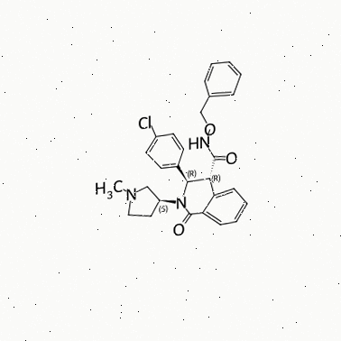 CN1CC[C@H](N2C(=O)c3ccccc3[C@@H](C(=O)NOCc3ccccc3)[C@@H]2c2ccc(Cl)cc2)C1